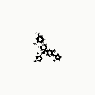 CN1CC[C@H](NC(=O)C2(c3cnc(-c4cccn4C)c(F)c3)CCN(c3ccc(Cl)cc3C#N)CC2)C1